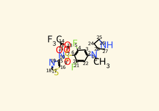 CN(c1cc(F)c(S(=O)(=O)N(OC(=O)C(F)(F)F)c2cscn2)c(F)c1)[C@H]1CCNC1